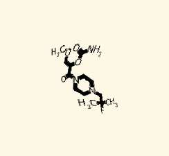 COCC(OC(N)=O)C(=O)N1CCN(CC(C)(C)F)CC1